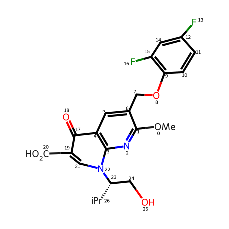 COc1nc2c(cc1COc1ccc(F)cc1F)c(=O)c(C(=O)O)cn2[C@H](CO)C(C)C